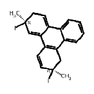 C[C@]1(I)C=Cc2c(c3ccccc3c3c2=C[C@@](C)(I)CC=3)C1